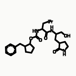 CC(C)CC(NC(=O)OC1CCCC1Cc1ccccc1)C(=O)NC(CO)CC1CCNC1=O